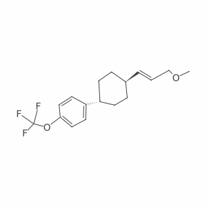 COC/C=C/[C@H]1CC[C@H](c2ccc(OC(F)(F)F)cc2)CC1